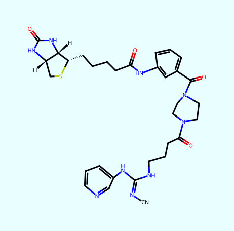 N#C/N=C(\NCCCC(=O)N1CCN(C(=O)c2cccc(NC(=O)CCCC[C@@H]3SC[C@@H]4NC(=O)N[C@@H]43)c2)CC1)Nc1cccnc1